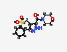 O=C(c1[nH]nc2c1CS(=O)(=O)c1ccccc1-2)N1CCOCC1